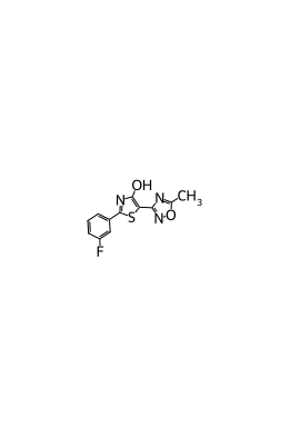 Cc1nc(-c2sc(-c3cccc(F)c3)nc2O)no1